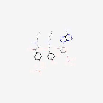 CCCCNCC(O)c1ccc(O)cc1.CCCCNCC(O)c1ccc(O)cc1.Nc1ncnc2c1ncn2[C@@H]1O[C@H](COP(=O)(O)O)[C@@H](O)[C@H]1O.O=S(=O)(O)O